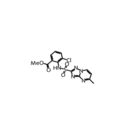 COC(=O)c1cccc(Cl)c1NS(=O)(=O)c1nc2nc(C)ccn2n1